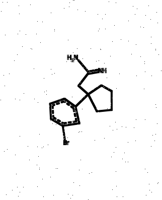 N=C(N)CC1(c2cccc(Br)c2)CCCC1